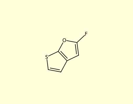 Fc1cc2ccsc2o1